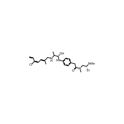 C=C/C(Cl)=C\C=C(/C)CNC(C)[C@@H](O)Nc1ccc(CC(=O)N(C)C[C@@H](CC)NC)cc1